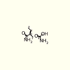 C/C=C(/C)C(N)=O.NC(=O)O